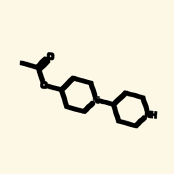 CC(=O)OC1CCN(C2CCNCC2)CC1